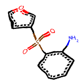 Nc1ccccc1S(=O)(=O)c1ccoc1